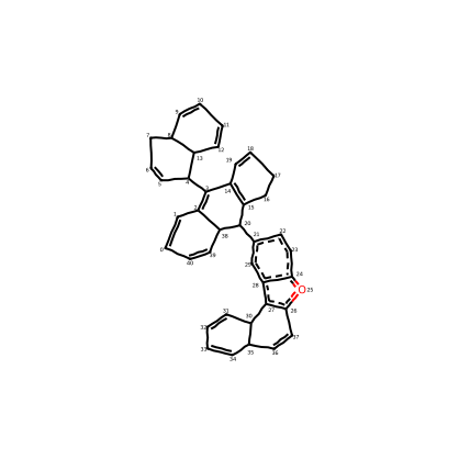 C1=CC2=C(C3C=CCC4C=CC=CC43)C3=C(CCC=C3)C(c3ccc4oc5c(c4c3)C3C=CC=CC3C=C5)C2C=C1